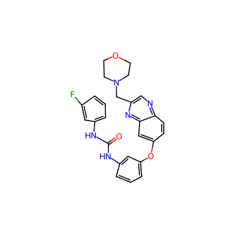 O=C(Nc1cccc(F)c1)Nc1cccc(Oc2ccc3ncc(CN4CCOCC4)nc3c2)c1